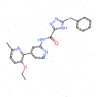 CCOc1ccc(C)nc1-c1ccnc(NC(=O)c2nnc(Cc3ccccc3)[nH]2)c1